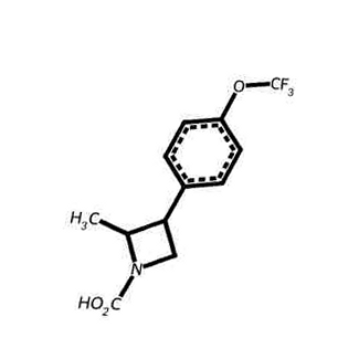 CC1C(c2ccc(OC(F)(F)F)cc2)CN1C(=O)O